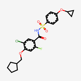 O=C(NS(=O)(=O)c1ccc(OC2CC2)cc1)c1cc(Cl)c(OCC2CCCC2)cc1F